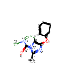 CCc1nc(Oc2ccccc2)c(Cl)n1C(=O)N(Cl)Cl